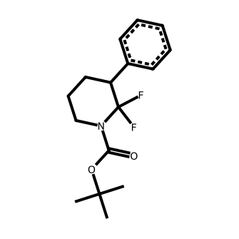 CC(C)(C)OC(=O)N1CCCC(c2ccccc2)C1(F)F